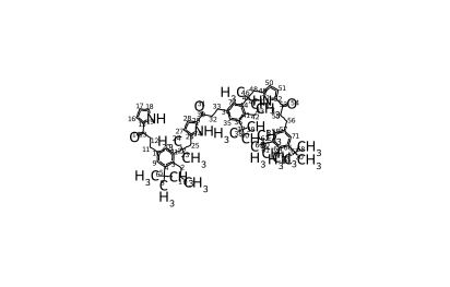 CCCc1c(C(C)(C)C)cc(CCC(=O)c2ccc[nH]2)cc1C(C)(C)Cc1ccc(C(=O)CCc2cc(C(C)(C)C)c(CC)c(C(C)(C)Cc3ccc(C(=O)CCc4cc(C(C)(C)C)c(C)c(C(C)(C)C)c4)[nH]3)c2)[nH]1